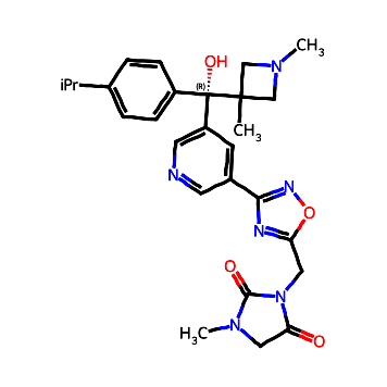 CC(C)c1ccc([C@](O)(c2cncc(-c3noc(CN4C(=O)CN(C)C4=O)n3)c2)C2(C)CN(C)C2)cc1